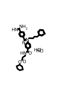 Cl.Cl.N=C(N)c1ccc(-c2nc3cc(C(=O)NCCC(=O)OC4CCCCC4)ccc3n2CCCCc2ccccc2)cc1